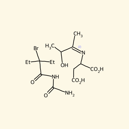 C/C(=N/C(CC(=O)O)C(=O)O)C(C)O.CCC(Br)(CC)C(=O)NC(N)=O